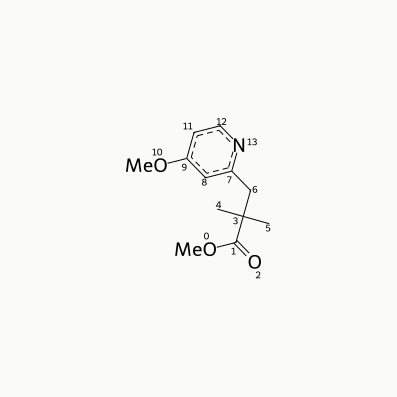 COC(=O)C(C)(C)Cc1cc(OC)ccn1